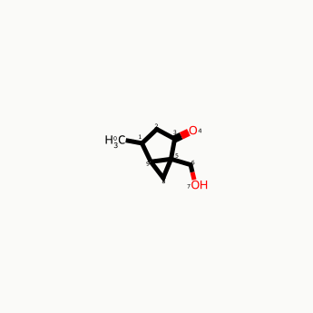 CC1CC(=O)C2(CO)CC12